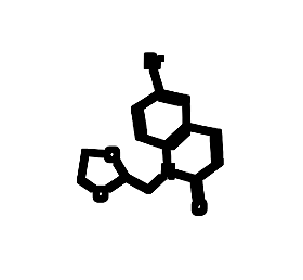 O=c1ccc2cc(Br)ccc2n1CC1OCCO1